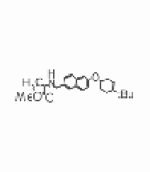 COC(=O)C(C)NCc1ccc2cc(OC3CCC(C(C)(C)C)CC3)ccc2c1